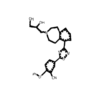 CC(C)Oc1ccc(-c2nc(-c3cccc4c3CCN(CC(O)CO)CC4)no2)cc1C#N